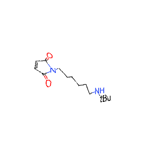 CC(C)(C)NCCCCCCN1C(=O)C=CC1=O